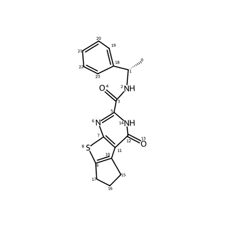 C[C@H](NC(=O)c1nc2sc3c(c2c(=O)[nH]1)CCC3)c1ccccc1